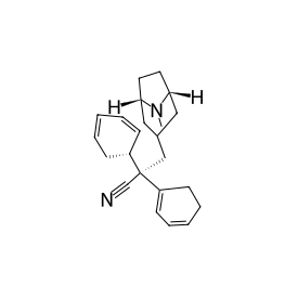 CN1[C@@H]2CC[C@H]1CC(C[C@@](C#N)(C1=CC=CCC1)[C@H]1C=CC=CC1)C2